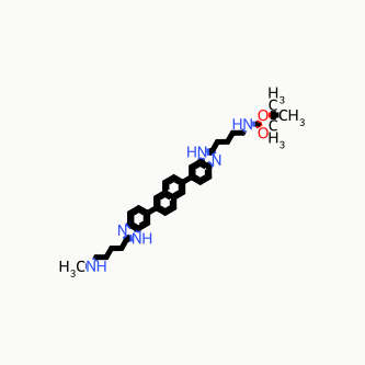 CNCCCCc1nc2ccc(-c3ccc4cc(-c5ccc6nc(CCCCNC(=O)OC(C)(C)C)[nH]c6c5)ccc4c3)cc2[nH]1